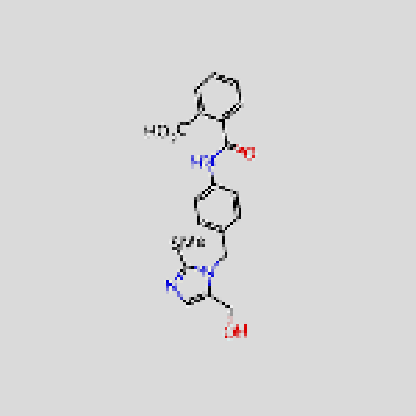 CSc1ncc(CO)n1Cc1ccc(NC(=O)c2ccccc2C(=O)O)cc1